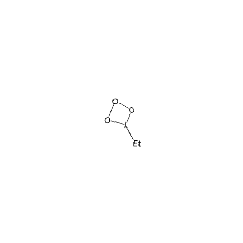 CCI1OOO1